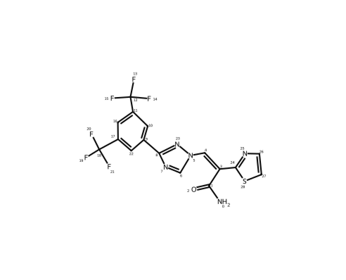 NC(=O)/C(=C\n1cnc(-c2cc(C(F)(F)F)cc(C(F)(F)F)c2)n1)c1nccs1